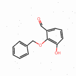 O=Cc1cccc(O)c1OCc1ccccc1